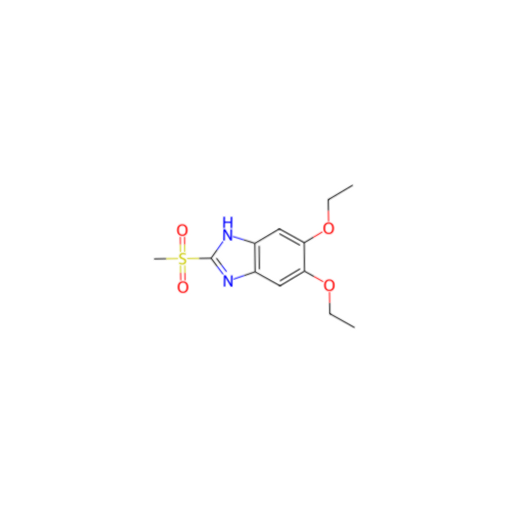 CCOc1cc2nc(S(C)(=O)=O)[nH]c2cc1OCC